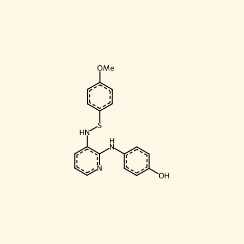 COc1ccc(SNc2cccnc2Nc2ccc(O)cc2)cc1